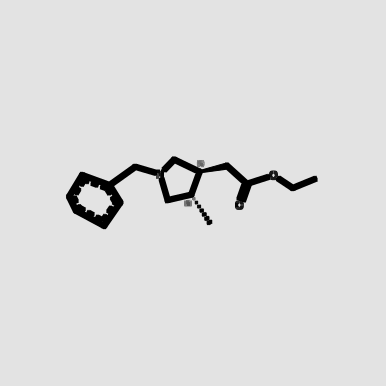 CCOC(=O)C[C@@H]1CN(Cc2ccccc2)C[C@H]1C